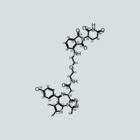 Cc1sc2c(c1C)C(c1ccc(Cl)cc1)=N[C@@H](CC(=O)NCCOCCNc1cccc3c1C(=O)N(C1CCC(=O)NC1=O)C3=O)c1nnc(C)n1-2